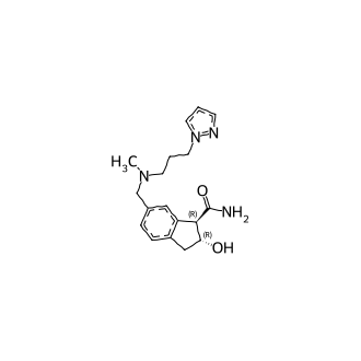 CN(CCCn1cccn1)Cc1ccc2c(c1)[C@@H](C(N)=O)[C@H](O)C2